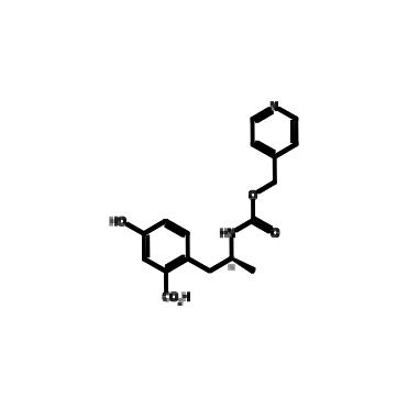 C[C@@H](Cc1ccc(O)cc1C(=O)O)NC(=O)OCc1ccncc1